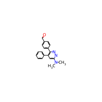 CN(C)c1cc(-c2ccccc2)c(-c2ccc(C=O)cc2)nn1